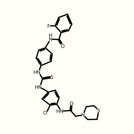 O=C(CN1CCSCC1)Nc1ccc(NC(=S)Nc2ccc(NC(=O)c3ccccc3F)cc2)cc1Cl